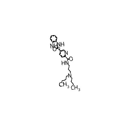 CCCCN(CCCC)CCCNC(=O)c1ccc(C(=O)Nc2ccccc2N)cn1